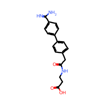 N=C(N)c1ccc(-c2ccc(CC(=O)NCCC(=O)O)cc2)cc1